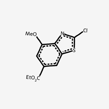 CCOC(=O)c1cc(OC)c2nc(Cl)sc2c1